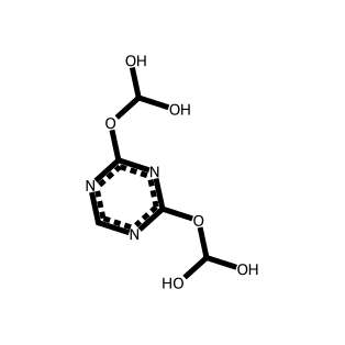 OC(O)Oc1ncnc(OC(O)O)n1